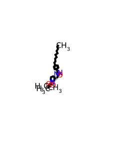 CCCCCCCCCCc1ccc(-c2noc(C[C@@H]3CCCN(C(=O)OC(C)(C)C)C3)n2)cc1